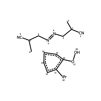 CC(C#N)CN=NCC(C)C#N.CC(C)c1ccccc1OO